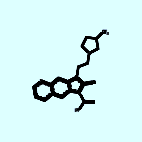 C=C(C(C)C)n1c(=O)n(CCN2CCC(C(F)(F)F)C2)c2cc3ncccc3cc21